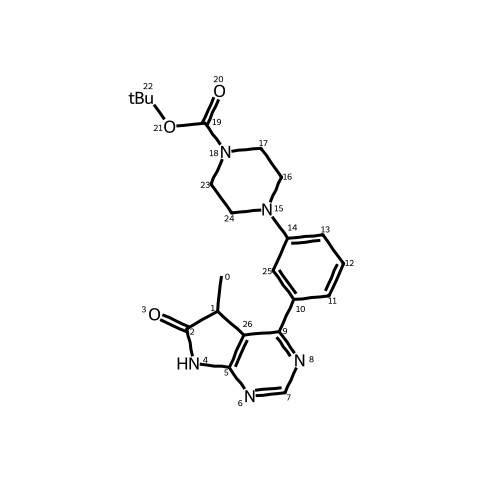 CC1C(=O)Nc2ncnc(-c3cccc(N4CCN(C(=O)OC(C)(C)C)CC4)c3)c21